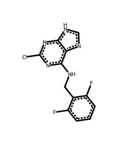 Fc1cccc(F)c1CNc1nc(Cl)nc2[nH]cnc12